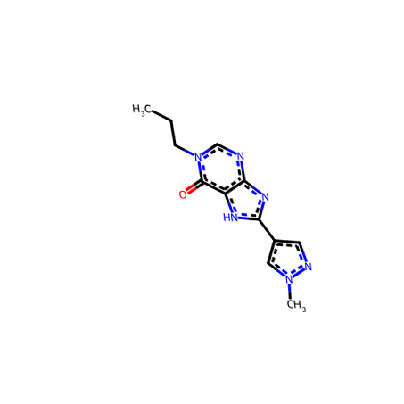 CCCn1cnc2nc(-c3cnn(C)c3)[nH]c2c1=O